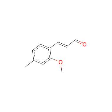 COc1cc(C)ccc1/C=C/C=O